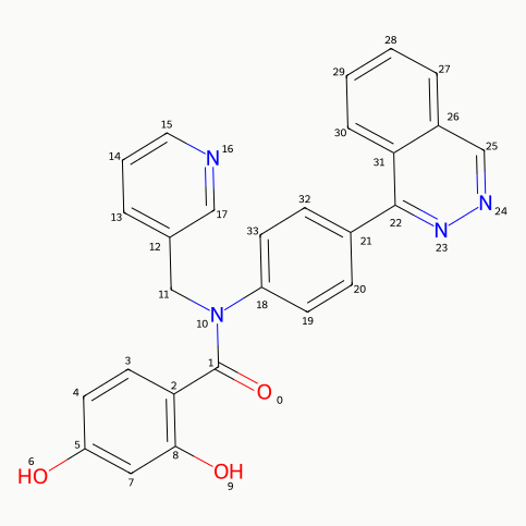 O=C(c1ccc(O)cc1O)N(Cc1cccnc1)c1ccc(-c2nncc3ccccc23)cc1